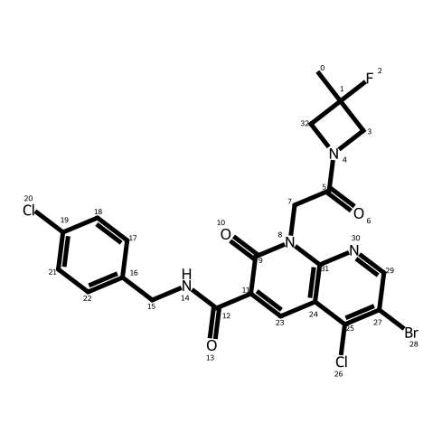 CC1(F)CN(C(=O)Cn2c(=O)c(C(=O)NCc3ccc(Cl)cc3)cc3c(Cl)c(Br)cnc32)C1